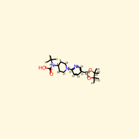 CC(C)(C)N(C(=O)O)C1CCN(c2ccc(B3OC(C)(C)C(C)(C)O3)cn2)CC1